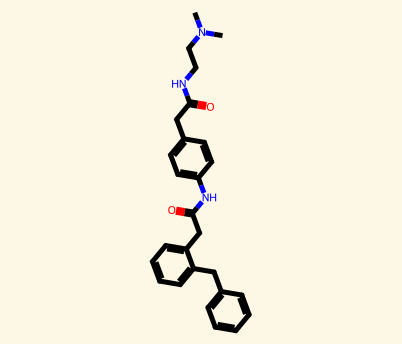 CN(C)CCNC(=O)Cc1ccc(NC(=O)Cc2ccccc2Cc2ccccc2)cc1